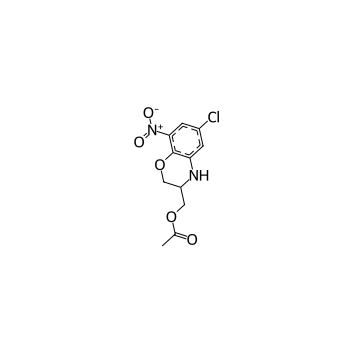 CC(=O)OCC1COc2c(cc(Cl)cc2[N+](=O)[O-])N1